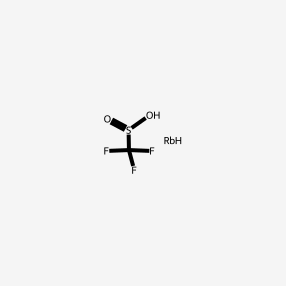 O=S(O)C(F)(F)F.[RbH]